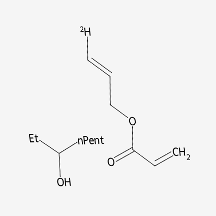 CCCCCC(O)CC.[2H]C=CCOC(=O)C=C